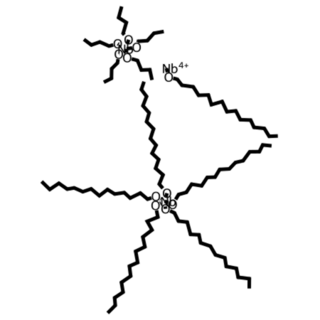 CCCCCCCCCCCCCCC[O][Nb+4].CCCCCCCCCCCCCC[O][Nb]([O]CCCCCCCCCCCCCC)([O]CCCCCCCCCCCCCC)([O]CCCCCCCCCCCCCC)[O]CCCCCCCCCCCCCC.CCCC[O][Nb]([O]CCCC)([O]CCCC)([O]CCCC)[O]CCCC